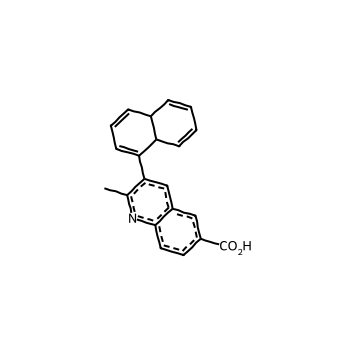 Cc1nc2ccc(C(=O)O)cc2cc1C1=CC=CC2C=CC=CC12